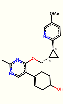 COc1ccc([C@H]2C[C@@H]2COc2nc(C)ncc2C2=CCC(O)CC2)nc1